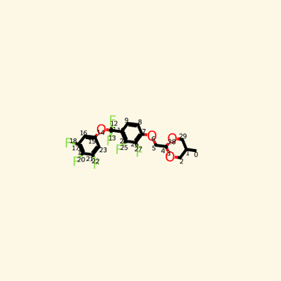 CC1COC(COc2ccc(C(F)(F)Oc3cc(F)c(F)c(F)c3)c(F)c2F)OC1